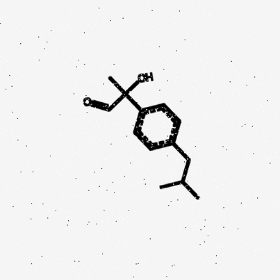 CC(C)Cc1ccc(C(C)(O)C=O)cc1